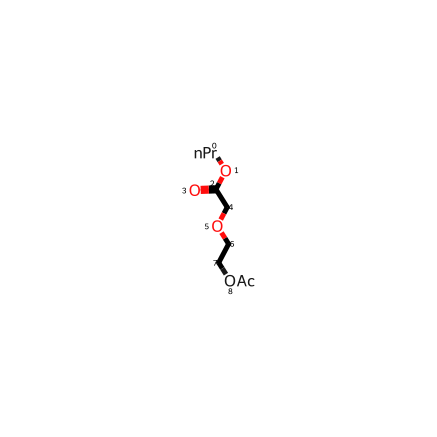 CCCOC(=O)COCCOC(C)=O